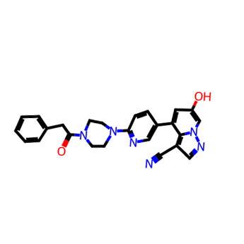 N#Cc1cnn2cc(O)cc(-c3ccc(N4CCN(C(=O)Cc5ccccc5)CC4)nc3)c12